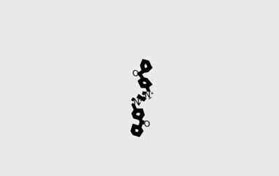 C[N+](C)(CC[N+](C)(C)Cc1ccc(C(=O)c2ccccc2)cc1)Cc1ccc(C(=O)c2ccccc2)cc1